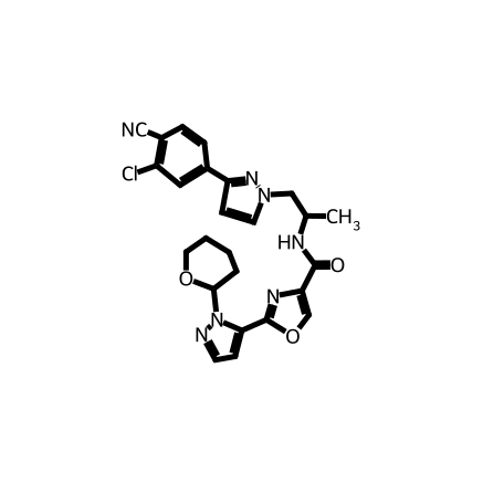 CC(Cn1ccc(-c2ccc(C#N)c(Cl)c2)n1)NC(=O)c1coc(-c2ccnn2C2CCCCO2)n1